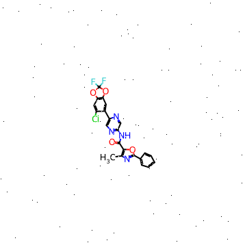 Cc1nc(-c2ccccc2)oc1C(=O)Nc1cnc(-c2cc3c(cc2Cl)OC(F)(F)O3)cn1